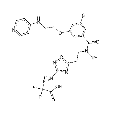 CC(C)N(CCc1nc(N)no1)C(=O)c1cc(Cl)cc(OCCNc2ccncc2)c1.O=C(O)C(F)(F)F